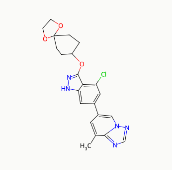 Cc1cc(-c2cc(Cl)c3c(OC4CCC5(CC4)OCCO5)n[nH]c3c2)cn2ncnc12